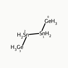 [GeH3][SnH2][SnH2][GeH3]